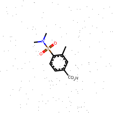 Cc1cc(C(=O)O)ccc1S(=O)(=O)N(C)C